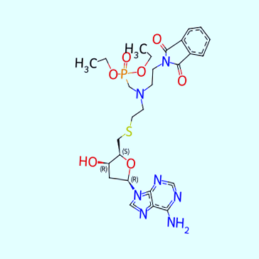 CCOP(=O)(CN(CCSC[C@H]1O[C@@H](n2cnc3c(N)ncnc32)C[C@H]1O)CCN1C(=O)c2ccccc2C1=O)OCC